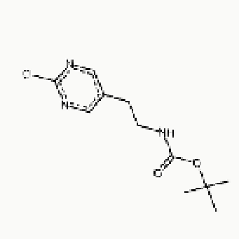 CC(C)(C)OC(=O)NCCc1cnc(Cl)nc1